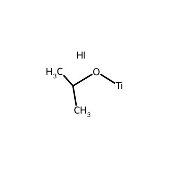 CC(C)[O][Ti].I